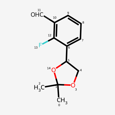 CC1(C)OCC(c2cccc(C=O)c2F)O1